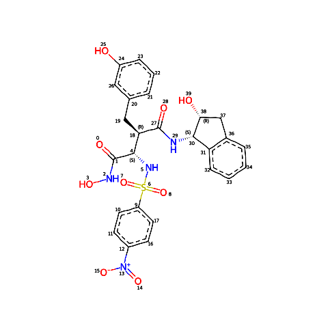 O=C(NO)[C@@H](NS(=O)(=O)c1ccc([N+](=O)[O-])cc1)[C@@H](Cc1cccc(O)c1)C(=O)N[C@H]1c2ccccc2C[C@H]1O